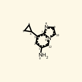 Nc1cc(C2CC2)c2nccn2c1